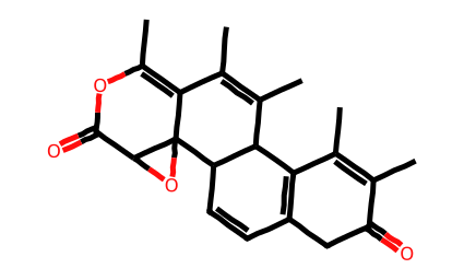 CC1=C2C(C)=C(C)C3C4=C(C=CC3C23OC3C(=O)O1)CC(=O)C(C)=C4C